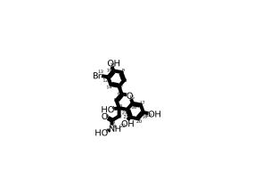 O=C(CC1(O)C=C(c2ccc(O)c(Br)c2)Oc2cc(O)cc(O)c21)NO